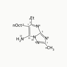 CCCCCCCCc1c(CC)nc2nc(C)nn2c1N